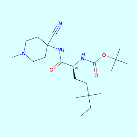 CCC(C)(C)CC[C@H](NC(=O)OC(C)(C)C)C(=O)NC1(C#N)CCN(C)CC1